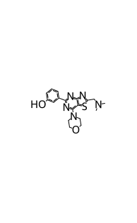 CN(C)Cc1nc2nc(-c3cccc(O)c3)nc(N3CCOCC3)c2s1